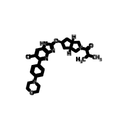 CC(C)C(=O)N1C[C@H]2C[C@H](Oc3nc4nc(-c5ccc(N6CCOCC6)cc5)c(Cl)cc4[nH]3)C[C@H]2C1